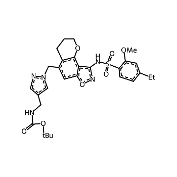 CCc1ccc(S(=O)(=O)Nc2noc3cc(Cn4cc(CNC(=O)OC(C)(C)C)cn4)c4c(c23)OCCC4)c(OC)c1